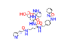 NC(=O)C1(NC(=O)[C@@H](CCCC(=O)O)NC(=O)[C@@H](CCCCNC(=O)/C=C/c2cccnc2)NC(=O)CC2=CC=C(Nc3nc4c(o3)C=CCC4)CC2)CCCCC1